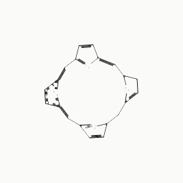 C1=CC2=NC1=CC1CC=C(CC3C=CC(=N3)C=c3ccc([nH]3)=C2)N1